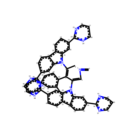 C=N/C=C(\C(=C(/C)n1c2cc(-c3ncccn3)ccc2c2ccc(-c3ncccn3)cc21)c1ccccc1C#N)n1c2cc(-c3ncccn3)ccc2c2ccc(-c3ncccn3)cc21